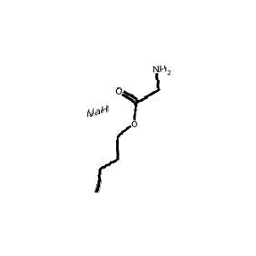 CCCCOC(=O)CN.[NaH]